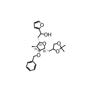 C[C@@H]1[C@@H](OCc2ccccc2)[C@@H](CC2COC(C)(C)O2)O[C@H]1CC(O)c1ccco1